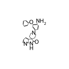 Nc1ccc(N2CCC3(CC2)C(=O)Nc2ncccc23)cc1Oc1ccccc1